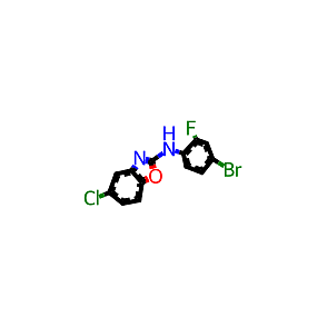 Fc1cc(Br)ccc1Nc1nc2cc(Cl)ccc2o1